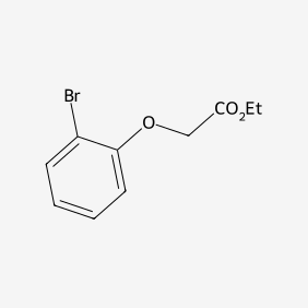 CCOC(=O)COc1ccccc1Br